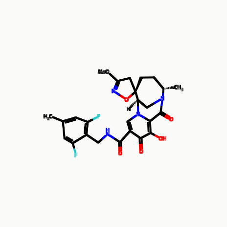 COC1=NO[C@]2(CC[C@H](C)N3C[C@H]2n2cc(C(=O)NCc4c(F)cc(C)cc4F)c(=O)c(O)c2C3=O)C1